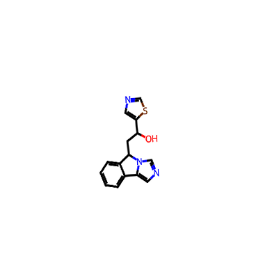 OC(CC1c2ccccc2-c2cncn21)c1cncs1